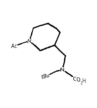 CC(=O)N1CCCC(CN(C(=O)O)C(C)(C)C)C1